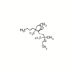 CCCCC(C)(CC)C(=O)CCC(C)(C)OCC